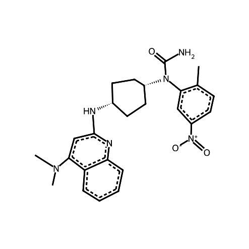 Cc1ccc([N+](=O)[O-])cc1N(C(N)=O)[C@H]1CC[C@@H](Nc2cc(N(C)C)c3ccccc3n2)CC1